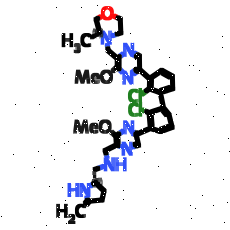 C=C1CC[C@@H](CNCc2ncc(-c3cccc(-c4cccc(-c5cnc(CN6CCOC[C@@H]6C)c(OC)n5)c4Cl)c3Cl)nc2OC)N1